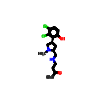 COC(=O)CCNC[C@@H]1C[C@H](c2c(O)ccc(Cl)c2Cl)CN1C(=O)O